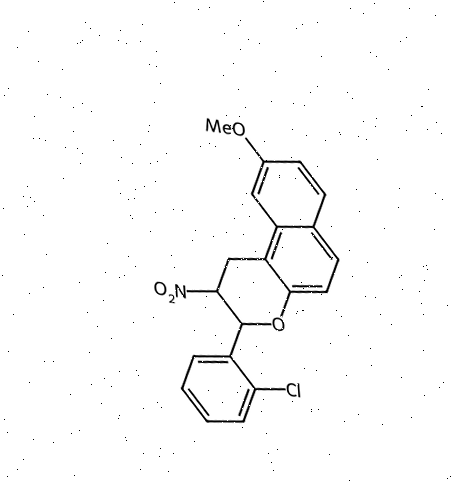 COc1ccc2ccc3c(c2c1)CC([N+](=O)[O-])C(c1ccccc1Cl)O3